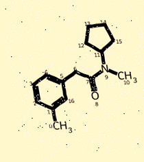 Cc1cccc(CC(=O)N(C)C2CCCC2)c1